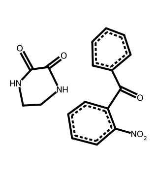 O=C(c1ccccc1)c1ccccc1[N+](=O)[O-].O=C1NCCNC1=O